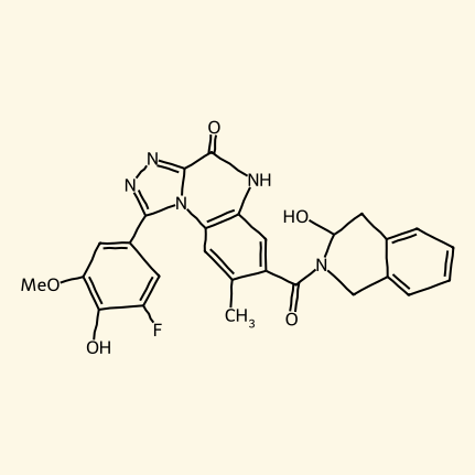 COc1cc(-c2nnc3c(=O)[nH]c4cc(C(=O)N5Cc6ccccc6CC5O)c(C)cc4n23)cc(F)c1O